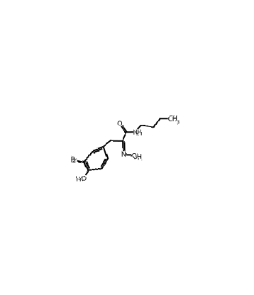 CCCCNC(=O)C(Cc1ccc(O)c(Br)c1)=NO